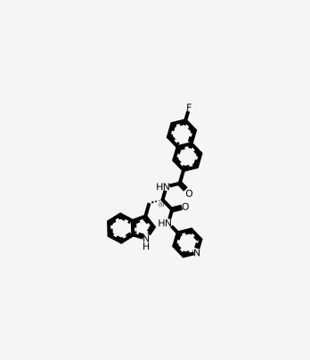 O=C(N[C@@H](Cc1c[nH]c2ccccc12)C(=O)Nc1ccncc1)c1ccc2cc(F)ccc2c1